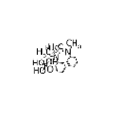 CCN(CC)c1ccccc1.CCN(CC)c1ccccc1.O=P(O)(O)O